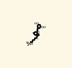 C[C@H](CCCCCN[S+](C)[O-])[C@H]1CC[C@H]2/C(=C/C=C3C[C@@H](O)C[C@H](O)C3)CCC[C@]12C